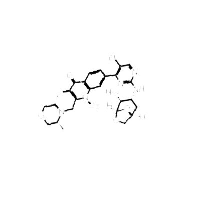 Cc1c(CN2[C@@H](C)COC[C@@H]2C)n(C(C)C)c2cc(-c3nc(N[C@@H]4C[C@H]5CO[C@H](O5)[C@H]4O)ncc3Cl)ccc2c1=O